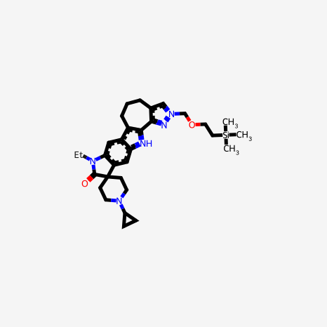 CCN1C(=O)C2(CCN(C3CC3)CC2)c2cc3[nH]c4c(c3cc21)CCCc1cn(COCC[Si](C)(C)C)nc1-4